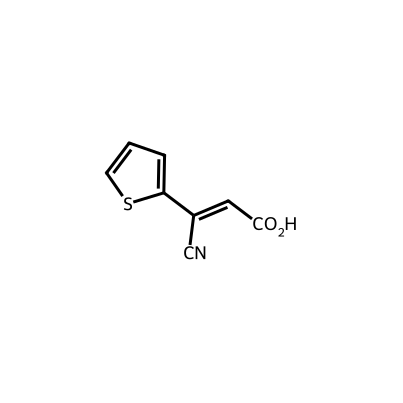 N#CC(=CC(=O)O)c1cccs1